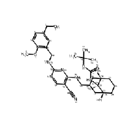 COc1ccc(CO)cc1CNc1ncc(C#N)c(NCC2C[C@H]3CCC[C@@H](C2)[C@@H]3NC(=O)OC(C)(C)C)n1